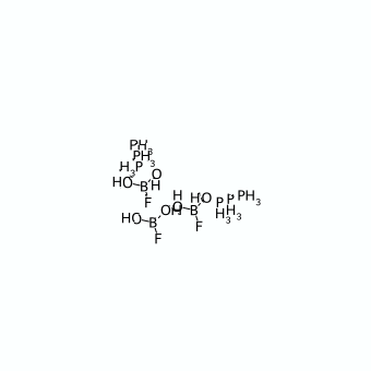 OB(O)F.OB(O)F.OB(O)F.P.P.P.P.P.P